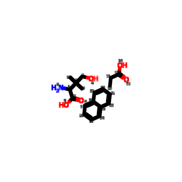 CC(C)(CO)C(N)C(=O)O.CCC(=O)O.c1ccc2ccccc2c1